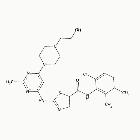 CC1=C(NC(=O)C2CN=C(Nc3cc(N4CCN(CCO)CC4)nc(C)n3)S2)C(Cl)=CCC1C